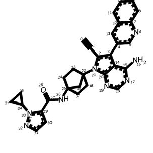 C#Cc1c(-c2cnc3ccccc3c2)c2c(N)ncnc2n1C12CCC(NC(=O)c3ccnn3C3CC3)(CC1)C2